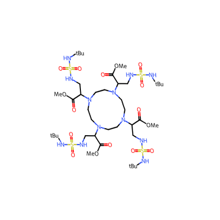 COC(=O)C(CNS(=O)(=O)NC(C)(C)C)N1CCN(C(CNS(=O)(=O)NC(C)(C)C)C(=O)OC)CCN(C(CNS(=O)(=O)NC(C)(C)C)C(=O)OC)CCN(C(CNS(=O)(=O)NC(C)(C)C)C(=O)OC)CC1